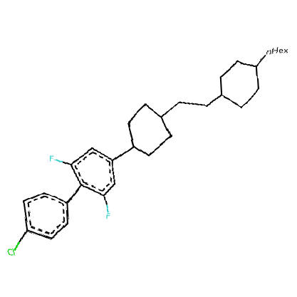 CCCCCCC1CCC(CCC2CCC(c3cc(F)c(-c4ccc(Cl)cc4)c(F)c3)CC2)CC1